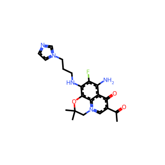 CC(=O)c1cn2c3c(c(NCCCn4ccnc4)c(F)c(N)c3c1=O)OC(C)(C)C2